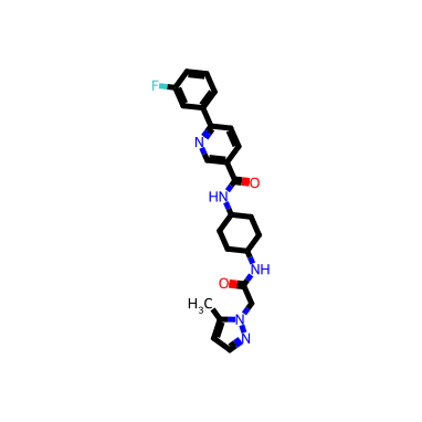 Cc1ccnn1CC(=O)NC1CCC(NC(=O)c2ccc(-c3cccc(F)c3)nc2)CC1